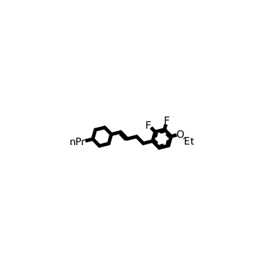 CCCC1CCC(/C=C/CCc2ccc(OCC)c(F)c2F)CC1